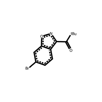 CC(C)(C)C(=O)c1noc2cc(Br)ccc12